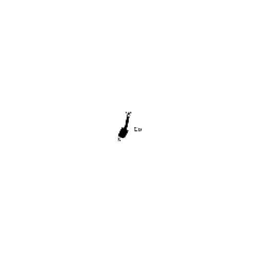 N#[C][W].[Co]